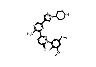 COc1cc(OC)c(F)c(-n2nc(-c3nc(-c4cnn(C5CCNCC5)c4)cnc3N)ccc2=O)c1